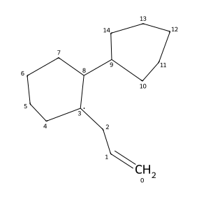 C=CC[C]1CCCCC1C1CCCCC1